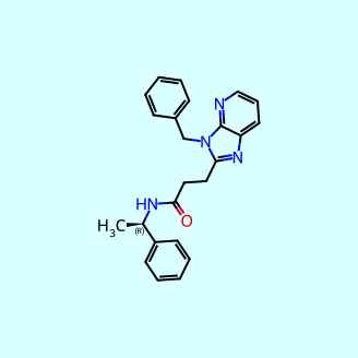 C[C@@H](NC(=O)CCc1nc2cccnc2n1Cc1ccccc1)c1ccccc1